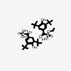 CC(C)(C)c1cc(C(=O)P(=O)(O)O)cc(C(C)(C)C)c1O.CCOP(=O)(O)C(=O)c1cc(C(C)(C)C)c(O)c(C(C)(C)C)c1